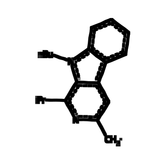 [CH2]c1cc2c3ccccc3n(CCCC)c2c(C(C)C)n1